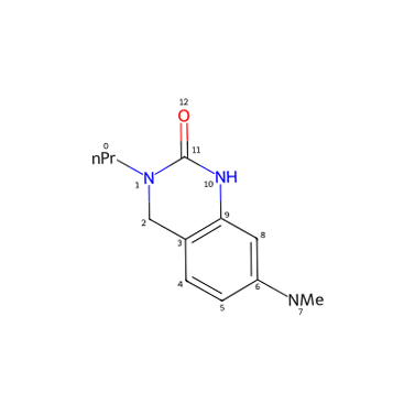 CCCN1Cc2ccc(NC)cc2NC1=O